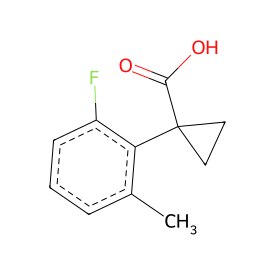 Cc1cccc(F)c1C1(C(=O)O)CC1